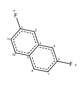 Fc1[c]c2cc(F)ccc2cc1